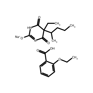 CCCC(C)C1(CC)C(=O)N=C([O-])NC1=O.CCOc1ccccc1C(=O)O.[Na+]